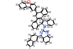 c1ccc2cc(-c3nc(-n4c5ccccc5c5c6c7ccccc7c(-c7ccc8oc9ccccc9c8c7)cc6c6ccccc6c54)nc4ccccc34)ccc2c1